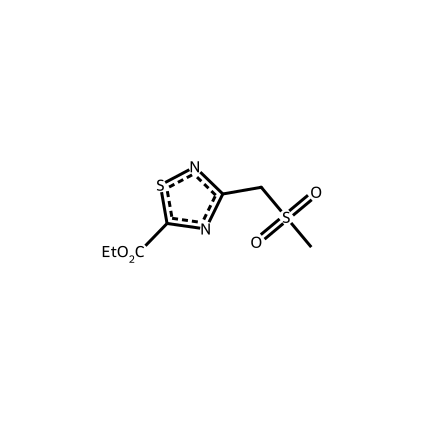 CCOC(=O)c1nc(CS(C)(=O)=O)ns1